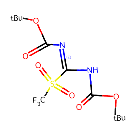 CC(C)(C)OC(=O)/N=C(/NC(=O)OC(C)(C)C)S(=O)(=O)C(F)(F)F